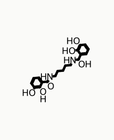 O=C(NCCCCCNC(O)c1cccc(O)c1O)c1cccc(O)c1O